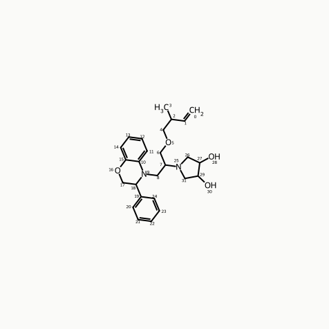 C=CC(C)COCC(CN1c2ccccc2OCC1c1ccccc1)N1CC(O)C(O)C1